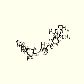 CCC(C)(C)c1ccc(OCC(=O)NCc2ccc(N=[SH](=O)OC)c(F)c2)cc1